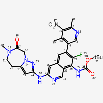 Cc1ncc(-c2cc3cc(Nc4cc5n(n4)CC(=O)N(C)CC5)ncc3c(NC(=O)OC(C)(C)C)c2F)c(C)c1[N+](=O)[O-]